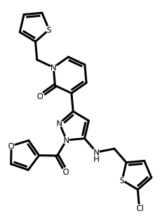 O=C(c1ccoc1)n1nc(-c2cccn(Cc3cccs3)c2=O)cc1NCc1ccc(Cl)s1